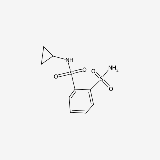 NS(=O)(=O)c1ccccc1S(=O)(=O)NC1CC1